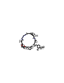 COC1CC(CC(C)[C@@H]2CC(=O)C(C)/C=C(\C)C(O)[C@@H](OC)C(=O)C(C)C[C@H](C)/C=C/C=C/C=C(\C)[C@@H](OC)C[C@@H]3CCC(C)C(O)(O3)C(=O)C(=O)N3CCCCC3C(=O)O2)CCC1OP(C)(C)=O